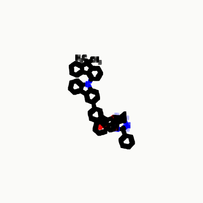 CC1(C)c2ccccc2-c2c(-n3c4ccccc4c4cc(-c5ccc6oc7ccc(C8=C\C=C\C(c9ccccc9)=N/C(c9ccccc9)=N\8)cc7c6c5)ccc43)cccc21